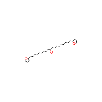 O=C(CCCCCCCCCc1ccco1)CCCCCCCCCc1ccco1